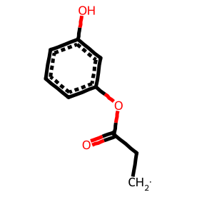 [CH2]CC(=O)Oc1cccc(O)c1